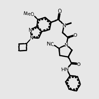 COc1cc(C(=O)N(C)CC(=O)N2CC(C(=O)Nc3ccccc3)CC2C#N)cc2cn(C3CCC3)nc12